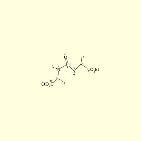 CCOC(=O)C(C)N[PH](=O)N(C)C(C)C(=O)OCC